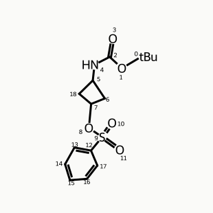 CC(C)(C)OC(=O)NC1CC(OS(=O)(=O)c2ccccc2)C1